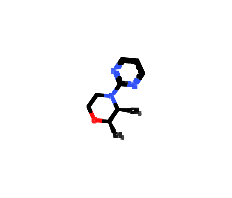 C[C@H]1OCCN(c2ncccn2)[C@H]1C